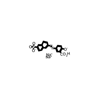 O=C(O)c1cc(N=Nc2ccc3cc(S(=O)(=O)[O-])ccc3c2)ccc1[O-].[Na+].[Na+]